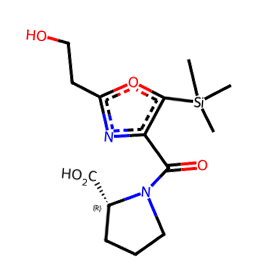 C[Si](C)(C)c1oc(CCO)nc1C(=O)N1CCC[C@@H]1C(=O)O